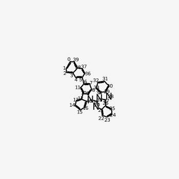 c1ccc2cc(-c3ccc4c(c3)c3ccccc3n4-c3nc4ccccc4c4nc5ccccc5n34)ccc2c1